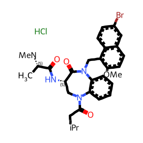 CN[C@@H](C)C(=O)N[C@H]1CN(C(=O)CC(C)C)c2ccccc2N(Cc2c(OC)ccc3cc(Br)ccc23)C1=O.Cl